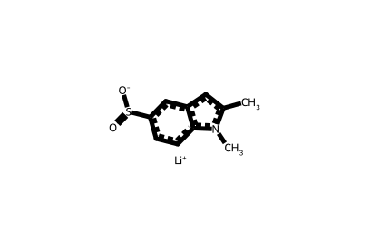 Cc1cc2cc(S(=O)[O-])ccc2n1C.[Li+]